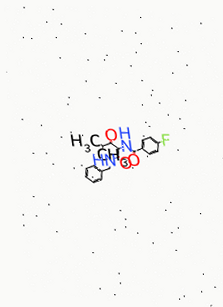 CC(C)C(=O)C(NC(=O)c1ccc(F)cc1)C(=O)NCc1ccccc1